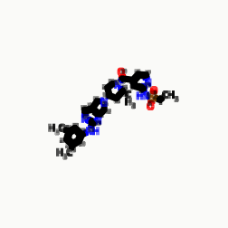 CCS(=O)(=O)Nc1cc(C(=O)N2CC[C@@H](N3Cc4cnc(Nc5cc(C)cc(C)c5)nc4C3)C[C@H]2C)ccn1